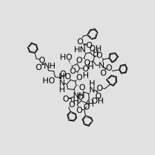 O=C(NCC[C@H](O)C(=O)N[C@@H]1C[C@H](NC(=O)OCc2ccccc2)[C@@H](O[C@H]2O[C@@H]3COC(c4ccccc4)O[C@H]3[C@@H](O)[C@H]2NC(=O)OCc2ccccc2)[C@H](O[C@@H]2O[C@H](CO)[C@@H](O[C@H]3O[C@H]4CN(C(=O)OCc5ccccc5)C(c5ccccc5)O[C@H]4[C@H](O)[C@H]3NC(=O)OCc3ccccc3)[C@H]2O)[C@H]1O)OCc1ccccc1